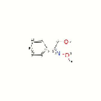 CO/N=C(\[C]=O)c1ccccc1